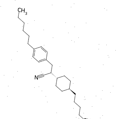 CCCCCCc1ccc(CC(C#N)[C@H]2CC[C@H](CCCCC)CC2)cc1